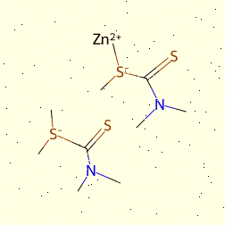 CN(C)C(=S)[S-](C)C.CN(C)C(=S)[S-](C)C.[Zn+2]